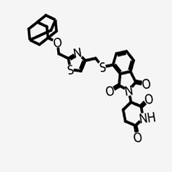 O=C1CCC(N2C(=O)c3cccc(SCc4csc(COC56CC7CC(CC(C7)C5)C6)n4)c3C2=O)C(=O)N1